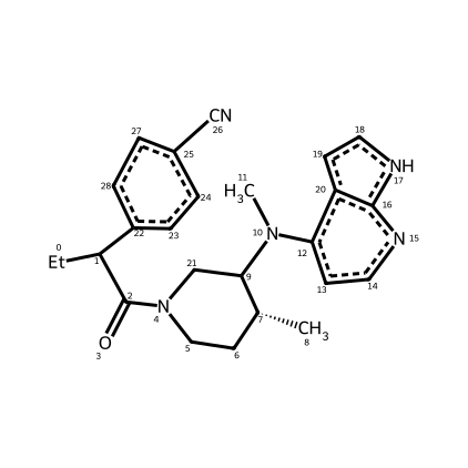 CCC(C(=O)N1CC[C@@H](C)C(N(C)c2ccnc3[nH]ccc23)C1)c1ccc(C#N)cc1